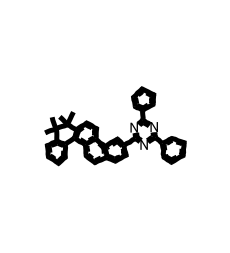 CC1(C)c2ccccc2-c2c(ccc3c2ccc2ccc(-c4nc(-c5ccccc5)nc(-c5ccccc5)n4)cc23)C1(C)C